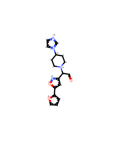 O=CC(c1cc(-c2ccco2)on1)N1CCC(n2ccnc2)CC1